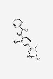 CC1CC(=O)NN=C1c1ccc(NC(=O)c2ccccc2)c(N)c1